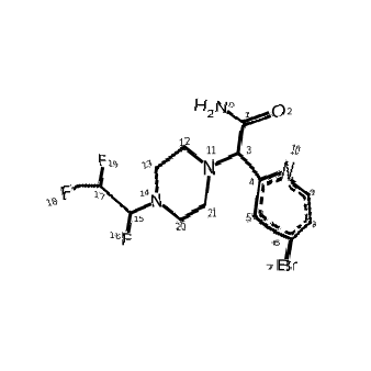 NC(=O)C(c1cc(Br)ccn1)N1CCN(C(F)C(F)F)CC1